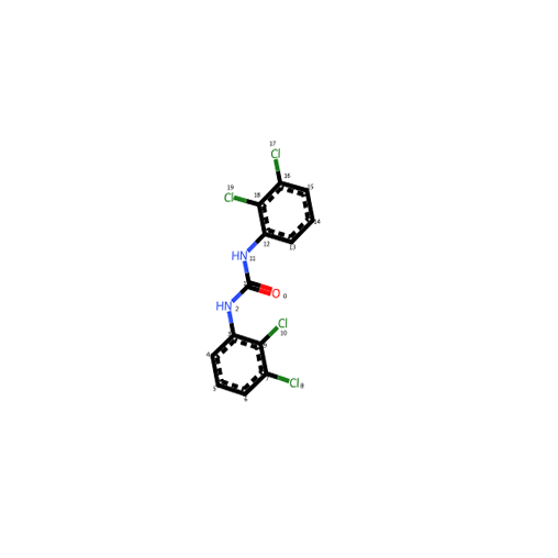 O=C(Nc1cccc(Cl)c1Cl)Nc1cccc(Cl)c1Cl